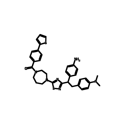 CN(C)c1ccc(CC(c2ccc(N)cc2)c2nsc(N3CCCN(C(=O)c4ccc(-c5cccs5)cc4)CC3)n2)cc1